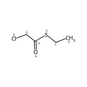 C[CH]SC(=O)CCl